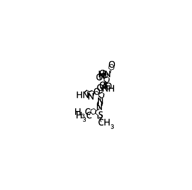 Cc1csc(C2=C(CN3CCN(c4ccc(C(=O)NS(=O)(=O)c5ccc(NCC6CCOCC6)c([N+](=O)[O-])c5)c(Oc5cnc6[nH]ccc6c5)c4)CC3)CCC(C)(C)C2)c1